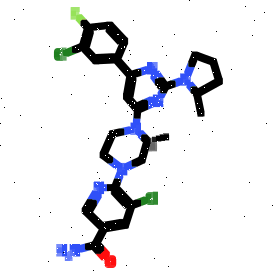 CC1CCCN1c1nc(-c2ccc(F)c(Cl)c2)cc(N2CCN(c3ncc(C(N)=O)cc3Cl)C[C@H]2C)n1